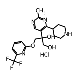 Cc1ncc(C(O)(CO)COc2cccc(C(F)(F)F)n2)c(C2CCNCC2)n1.Cl